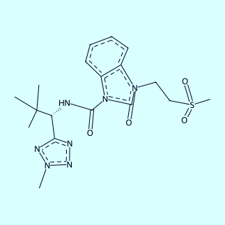 Cn1nnc([C@@H](NC(=O)n2c(=O)n(CCS(C)(=O)=O)c3ccccc32)C(C)(C)C)n1